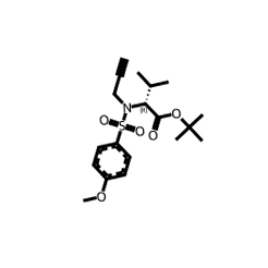 C#CCN([C@@H](C(=O)OC(C)(C)C)C(C)C)S(=O)(=O)c1ccc(OC)cc1